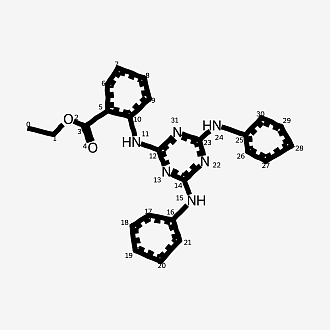 CCOC(=O)c1ccccc1Nc1nc(Nc2ccccc2)nc(Nc2ccccc2)n1